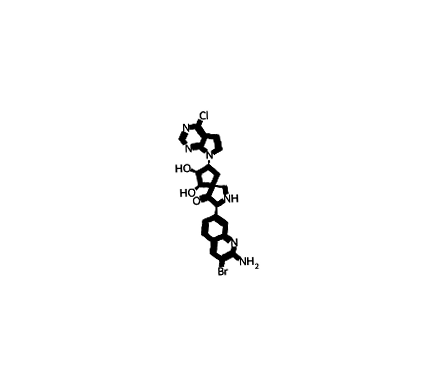 Nc1nc2cc([C@@H]3NC[C@@]4(C[C@@H](n5ccc6c(Cl)ncnc65)[C@H](O)[C@@H]4O)C3=O)ccc2cc1Br